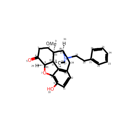 CO[C@@]12CCC(=O)[C@@H]3Oc4c(O)ccc5c4[C@@]31CCN(CCc1ccccc1)[C@@H]2C5